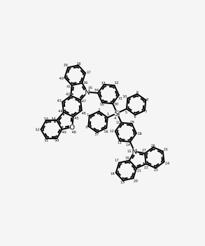 c1ccc([Si](c2ccccc2)(c2ccc(-n3c4ccccc4c4ccccc43)cc2)c2cccc(-n3c4ccccc4c4cc5c(cc43)oc3ccccc35)c2)cc1